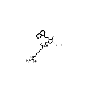 N=C(N)NCCCCCC(=O)NC[C@@H]1C[C@@H](CC(=O)O)C(=O)N1CCc1cccc2ccccc12